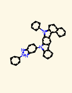 c1ccc(-n2nc3ccc(-n4c5ccccc5c5cc6c7c8ccccc8ccc7n(-c7ccccc7)c6cc54)cc3n2)cc1